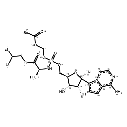 CCC(CC)COC(=O)[C@H](C)NP(=O)(OCOC(=O)C(C)(C)C)OC[C@H]1O[C@@](C#N)(c2ccc3c(N)ncnn23)[C@H](O)[C@@H]1O